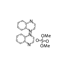 COS(=O)(=O)OC.c1ccc2nccnc2c1.c1ccc2nccnc2c1